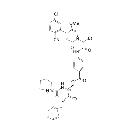 CCC(C(=O)Nc1ccc(C(=O)OC[C@H](NC(=O)[C@H]2CCCCN2C)C(=O)OCc2ccccc2)cc1)n1cc(OC)c(-c2cc(Cl)ccc2C#N)cc1=O